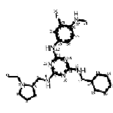 CCN1CCCC1CNc1nc(NCC2CCCCC2)nc(Nc2ccc(NC)c(F)c2)n1